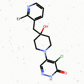 CCc1ncccc1CC1(O)CCN(c2cn[nH]c(=O)c2Cl)CC1